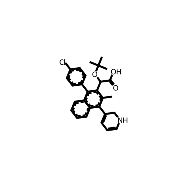 Cc1c(C(OC(C)(C)C)C(=O)O)c(-c2ccc(Cl)cc2)c2ccccc2c1C1=CC=CNC1